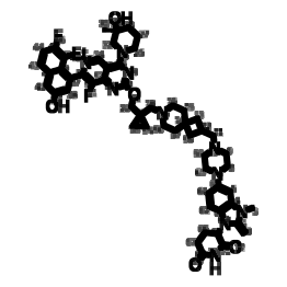 C=C1N(C)c2cc(N3CCN(CC4CC5(CCN(CC6(COc7nc(N8CCC[C@@](C)(O)C8)c8cnc(-c9cc(O)cc%10ccc(F)c(CC)c9%10)c(F)c8n7)CC6)CC5)C4)CC3)ccc2N1C1CCC(=O)NC1=O